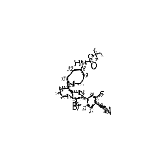 CC(C)(C)OC(=O)NC1CCN(c2nccn3c(Br)c(-c4ccc(C#N)c(F)c4)nc23)CC1